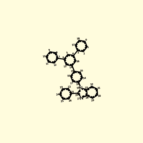 c1ccc(-c2cc(-c3ccccc3)cc(-c3ccc(-n4c(-c5ccccc5)nc5ccccc54)cc3)c2)cc1